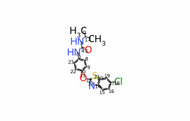 CC(C)NC(=O)Nc1ccc(Oc2nc3ccc(Cl)cc3s2)cc1